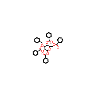 C[C@]1(COC(=O)c2ccccc2)O[C@@H](OC(=O)c2ccccc2)[C@H](OC(=O)c2ccccc2)[C@@H](OCc2ccccc2)[C@@H]1OC(=O)c1ccccc1